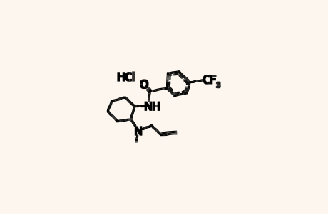 C=CCN(C)C1CCCCC1NC(=O)c1ccc(C(F)(F)F)cc1.Cl